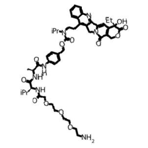 CC[C@@]1(O)C(=O)OCc2c1cc1n(c2=O)Cc2c-1nc1ccccc1c2CCN(C(=O)OCc1ccc(NC(=O)[C@H](C)NC(=O)[C@@H](NC(=O)COCCOCCOCCN)C(C)C)cc1)C(C)C